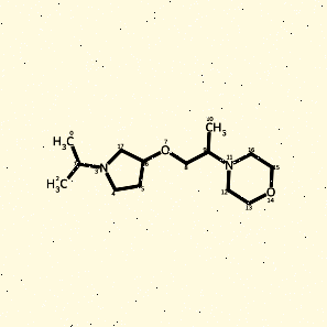 CC(C)N1CCC(OCC(C)N2CCOCC2)C1